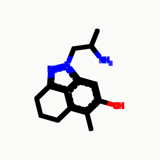 Cc1c(O)cc2c3c(nn2CC(C)N)CCCc13